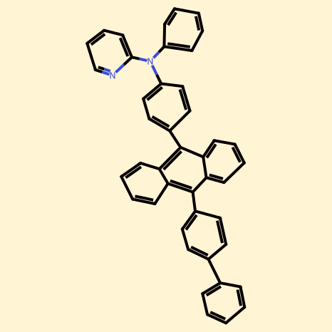 c1ccc(-c2ccc(-c3c4ccccc4c(-c4ccc(N(c5ccccc5)c5ccccn5)cc4)c4ccccc34)cc2)cc1